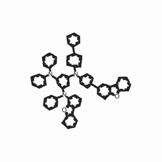 c1ccc(-c2ccc(N(c3ccc(-c4ccc5oc6ccccc6c5c4)cc3)c3cc(N(c4ccccc4)c4ccccc4)cc(N(c4ccccc4)c4cccc5c4oc4ccccc45)c3)cc2)cc1